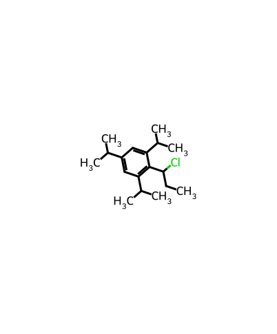 CCC(Cl)c1c(C(C)C)cc(C(C)C)cc1C(C)C